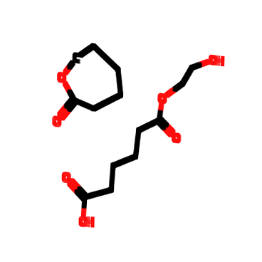 O=C(O)CCCCC(=O)OCCO.O=C1CCCCCO1